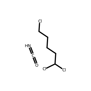 ClCCCCC(Cl)Cl.N=C=O